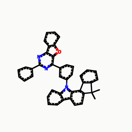 CC1(C)c2ccccc2-c2c1ccc1c3ccccc3n(-c3cccc(-c4nc(-c5ccccc5)nc5c4oc4ccccc45)c3)c21